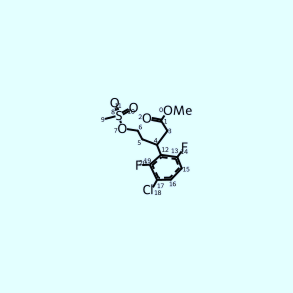 COC(=O)CC(CCOS(C)(=O)=O)c1c(F)ccc(Cl)c1F